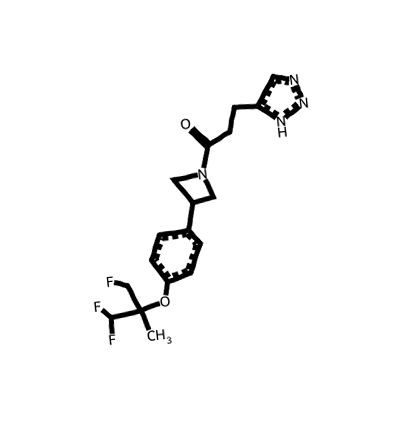 CC(CF)(Oc1ccc(C2CN(C(=O)CCc3cnn[nH]3)C2)cc1)C(F)F